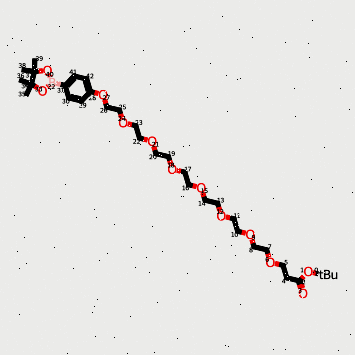 CC(C)(C)OC(=O)CCOCCOCCOCCOCCOCCOCCOCCOc1ccc(B2OC(C)(C)C(C)(C)O2)cc1